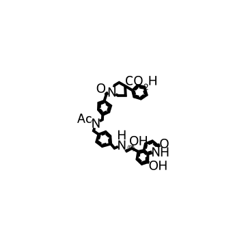 CC(=O)N(Cc1ccc(CNC[C@H](O)c2ccc(O)c3[nH]c(=O)ccc23)cc1)Cc1ccc(C(=O)N2CCC(C(=O)O)(c3ccccc3)CC2)cc1